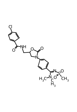 CN(C)C(=NS(C)(=O)=O)c1ccc(N2CC(CNC(=O)c3ccc(Cl)cc3)OC2=O)cc1